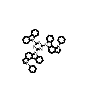 c1ccc(-n2ccc3ccc4c(c5ccccc5n4-c4nc(-n5c6ccccc6c6ccccc65)nc(-n5c6ccccc6c6c7c(ccc65)ccn7-c5ccccc5)n4)c32)cc1